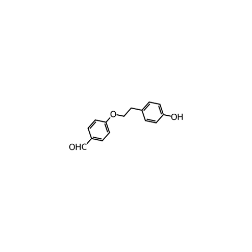 O=Cc1ccc(OCCc2ccc(O)cc2)cc1